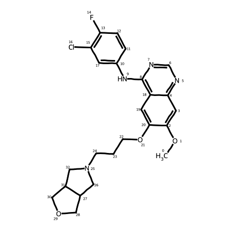 COc1cc2ncnc(Nc3ccc(F)c(Cl)c3)c2cc1OCCCN1CC2COCC2C1